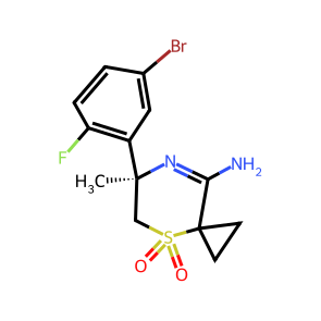 C[C@@]1(c2cc(Br)ccc2F)CS(=O)(=O)C2(CC2)C(N)=N1